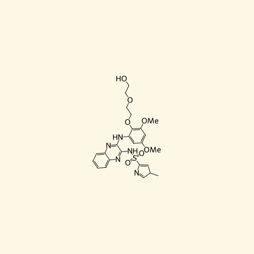 COc1cc(Nc2nc3ccccc3nc2NS(=O)(=O)C2=CC(C)C=N2)c(OCCOCCO)c(OC)c1